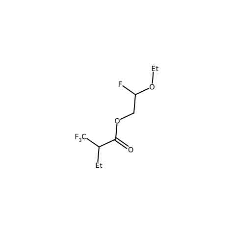 CCOC(F)COC(=O)C(CC)C(F)(F)F